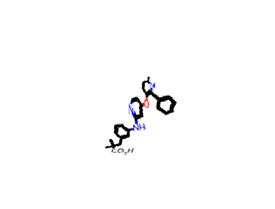 Cc1ccc(Oc2ccnc(Nc3cccc(CC(C)(C)C(=O)O)c3)c2)c(-c2ccccc2)n1